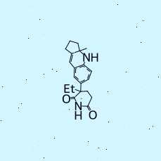 CCC1(c2ccc3c(c2)C=C2CCCC2(C)N3)CCC(=O)NC1=O